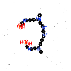 O=P(O)(O)Cc1ccc(C[n+]2ccc(-c3ccc(-c4ccc(-c5cc(-c6ccc(-c7cc[n+](Cc8cccc(C[n+]9ccc(-c%10ccc(-c%11ccc(-c%12cc(-c%13ccc(-c%14cc[n+](Cc%15ccc(CP(=O)(O)O)cc%15)cc%14)cc%13)nc(-c%13ccccc%13)n%12)cc%11)cc%10)cc9)c8)cc7)cc6)nc(-c6ccccc6)n5)cc4)cc3)cc2)cc1